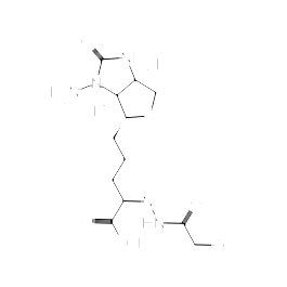 NN1C(=O)N[C@H]2CS[C@@H](CCCC(NNC(=O)CO)C(=O)O)[C@H]21